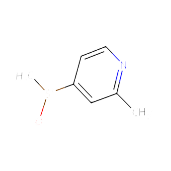 [CH2]c1cc([S+](C)[O-])ccn1